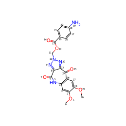 COc1cc2[nH]c(=O)c3nn(COC(=O)c4ccc(N)cc4)nc3c(=O)c2cc1OC